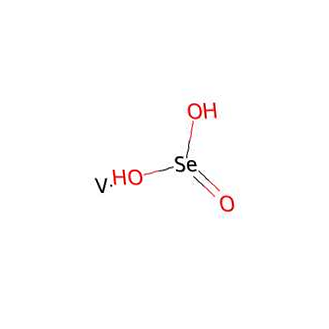 O=[Se](O)O.[V]